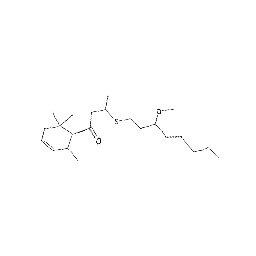 CCCCCC(CCSC(C)CC(=O)C1C(C)C=CCC1(C)C)OC